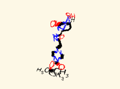 CC(C)(C)OC(=O)N1CCN(CCc2nnc([C@@H]3CC[C@H]4CN3C(=O)N4O)o2)CC1